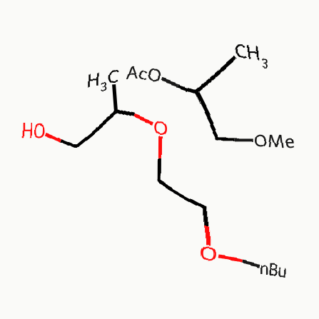 CCCCOCCOC(C)CO.COCC(C)OC(C)=O